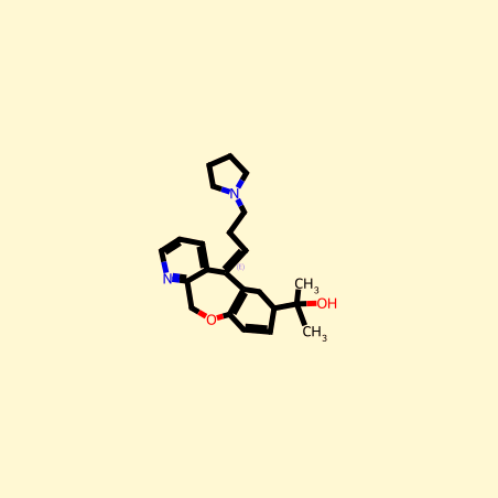 CC(C)(O)C1C=CC2=C(C1)/C(=C/CCN1CCCC1)c1cccnc1CO2